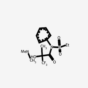 CCS(=O)(=O)N(C(=O)C(C)(O)C(F)(F)F)c1ccccc1.CNC